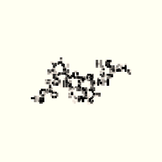 CC(C)C[C@@H](NC(=O)c1ccccc1OCC(=O)OC(C)(C)C)C(=O)N1CCC[C@@H]1C(=O)NCCN(C)C